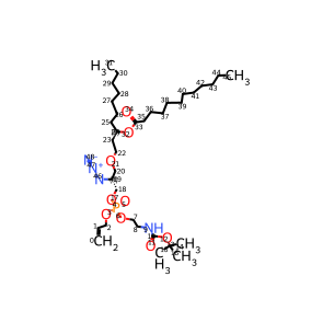 C=CCOP(=O)(OCCNC(=O)OC(C)(C)C)OC[C@@H](COCC[C@@H](CCCCCCC)OC(=O)CCCCCCCCCCC)N=[N+]=[N-]